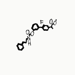 COC(=O)C(C)c1ccc(-c2cccc(OC(=O)NCCCc3ccccc3)c2)c(F)c1